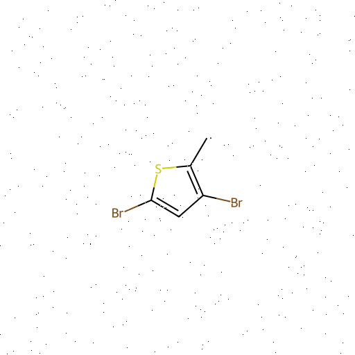 [CH2]c1sc(Br)cc1Br